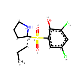 CCC[C@]1(S(=O)(=O)c2cc(Cl)cc(Cl)c2O)CCCN1